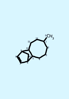 CC1CCCC2C3C=CC(C3)C2CC1